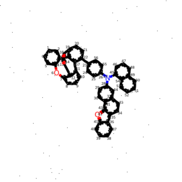 c1ccc2c(c1)Oc1cccc3c1-c1ccccc1-c1ccc(-c4ccc(N(c5ccc6c(ccc7c8ccccc8oc67)c5)c5cccc6ccccc56)cc4)c-3c1-2